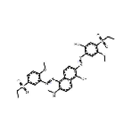 CCS(=O)(=O)c1ccc(OC)c(/N=N/c2c(NC)ccc3c(O)c(/N=N/c4cc(OC)c(S(=O)(=O)CC)cc4O)ccc23)c1